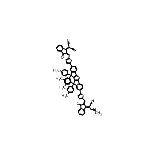 C=NC/C(C#N)=C1/C(=C/c2ccc(-c3ccc4c(c3)C(c3ccc(C)cc3)(c3ccc(C)cc3)c3c-4sc4c3C(c3ccc(C)cc3)(c3ccc(C)cc3)c3cc(-c5ccc(/C=C6\C(=O)c7ccccc7C6=C(C#N)C#N)s5)ccc3-4)s2)C(=O)c2ccccc21